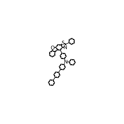 c1ccc(-c2ccc(-c3ccc(N(c4ccccc4)c4ccc(-c5c6nc(-c7ccccc7)sc6cc6oc7ccccc7c56)cc4)cc3)cc2)cc1